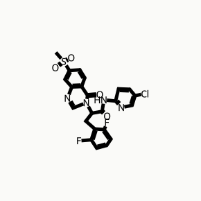 CS(=O)(=O)c1ccc2c(=O)n(C(Cc3c(F)cccc3F)C(=O)Nc3ccc(Cl)cn3)cnc2c1